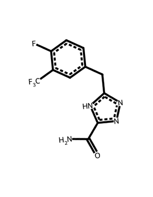 NC(=O)c1nnc(Cc2ccc(F)c(C(F)(F)F)c2)[nH]1